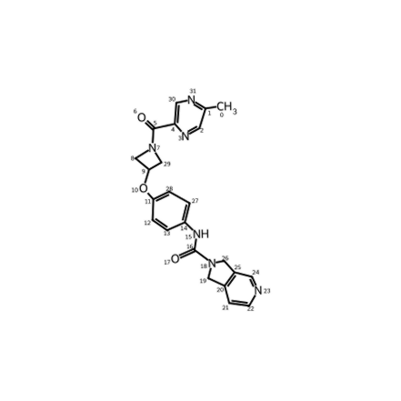 Cc1cnc(C(=O)N2CC(Oc3ccc(NC(=O)N4Cc5ccncc5C4)cc3)C2)cn1